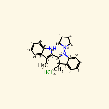 Cc1c(C2C(C)c3ccccc3N2N2CCCC2)[nH]c2ccccc12.Cl